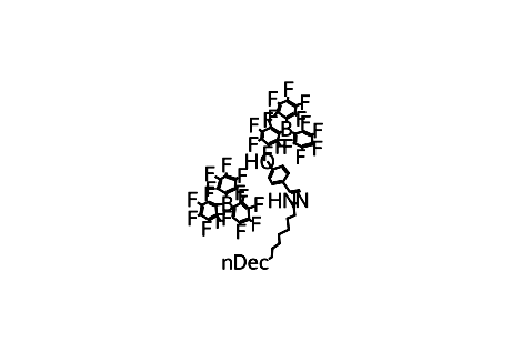 CCCCCCCCCCCCCCCCCc1ncc(-c2ccc(O)cc2)[nH]1.Fc1c(F)c(F)c(B(c2c(F)c(F)c(F)c(F)c2F)c2c(F)c(F)c(F)c(F)c2F)c(F)c1F.Fc1c(F)c(F)c(B(c2c(F)c(F)c(F)c(F)c2F)c2c(F)c(F)c(F)c(F)c2F)c(F)c1F